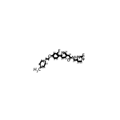 CN1CCN(CCOc2ccc(-c3ccc(CC(=O)NCc4ccnc(F)n4)cn3)c(F)c2)CC1